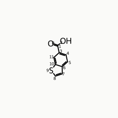 O=C(O)c1ccc2ccsc2c1